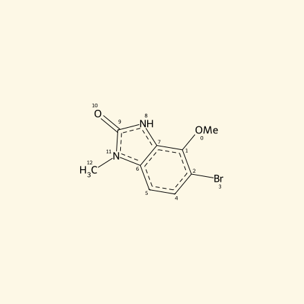 COc1c(Br)ccc2c1[nH]c(=O)n2C